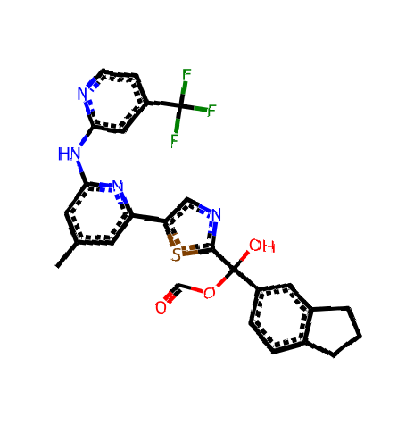 Cc1cc(Nc2cc(C(F)(F)F)ccn2)nc(-c2cnc(C(O)(OC=O)c3ccc4c(c3)CCC4)s2)c1